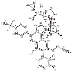 CC(C)(O)c1ccc(-c2nc3c(F)c(-c4cccc(Cl)c4Cl)c(CCC#N)cc3c3c2cc([C@H]2[C@@H]4CC[C@@H](C4)N2C(=O)C2CC2)n3[C@H]2[C@H]3CN[C@@H]2C3)cn1